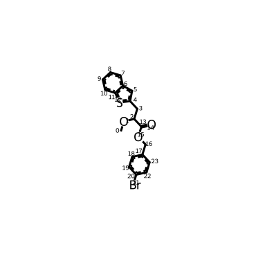 COC(Cc1cc2ccccc2s1)C(=O)OCc1ccc(Br)cc1